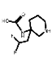 O=C(O)NC1(CC(F)F)CCCNC1